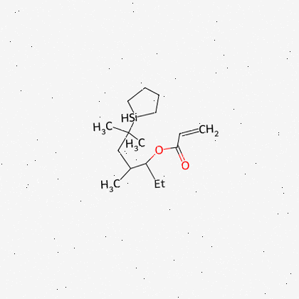 C=CC(=O)OC(CC)C(C)CC(C)(C)[SiH]1CCCC1